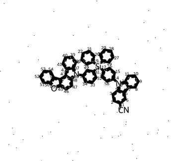 N#Cc1ccc2c(c1)c1ccccc1n2-c1ccc([Si](c2ccccc2)(c2ccccc2)c2cccc(-n3c4ccccc4c4c5c(ccc43)oc3ccccc35)c2)cc1